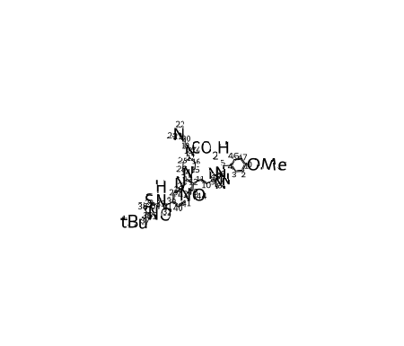 COc1ccc(Cn2nnc(C=Cc3c(N4CCC(N(CCN(C)C)C(=O)O)CC4)nc4cc(C(=O)Nc5nc(C(C)(C)C)cs5)ccn4c3=O)n2)cc1